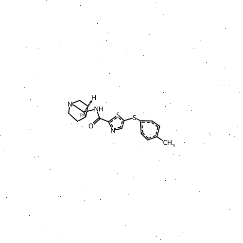 Cc1ccc(Sc2cnc(C(=O)N[C@H]3CN4CCC3CC4)s2)cc1